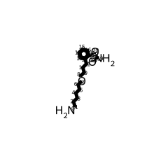 NCCCCCCOCCCCc1ccccc1S(N)(=O)=O